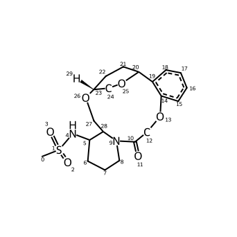 CS(=O)(=O)NC1CCCN2C(=O)COc3ccccc3C3CC[C@H](CO3)OCC12